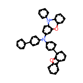 c1ccc(-c2ccc(N(c3ccc(-c4cccc5c4oc4ccccc45)cc3)c3ccc4c(c3)Oc3ccccc3N4c3ccccc3)cc2)cc1